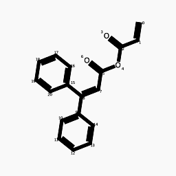 C=CC(=O)OC(=O)C=C(c1ccccc1)c1ccccc1